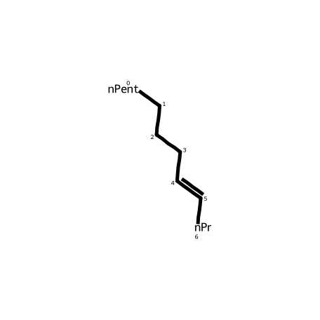 C[CH]CCCCCCC=CCCC